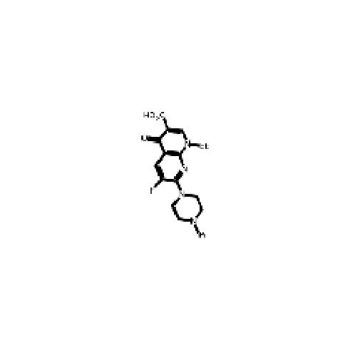 CCn1cc(C(=O)O)c(=O)c2cc(F)c(N3CCN(C(C)C)CC3)nc21